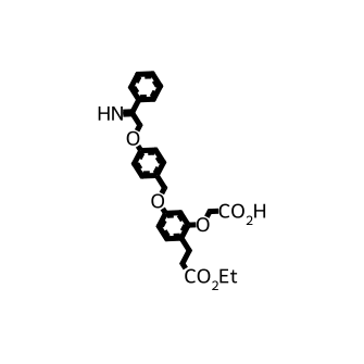 CCOC(=O)CCc1ccc(OCc2ccc(OCC(=N)c3ccccc3)cc2)cc1OCC(=O)O